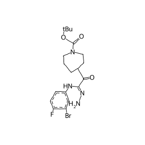 CC(C)(C)OC(=O)N1CCCC(C(=O)C(=NN)Nc2ccc(F)c(Br)c2)CC1